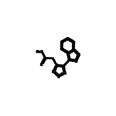 COC(=O)Cn1nnnc1-c1occ2ccccc12